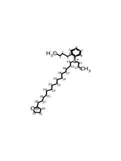 CCCCc1ccccc1[S+](CCC)CCCCCCCCCCCCCCCC1CCCO1